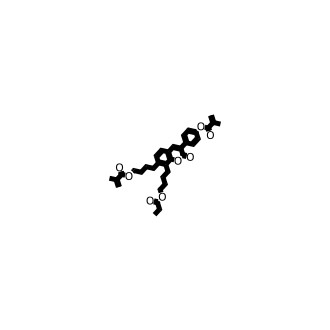 C=C(C)C(=O)OCCCCc1ccc2cc(-c3ccc(OC(=O)C(=C)C)cc3)c(=O)oc2c1CCCCOC(=O)CC